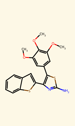 COc1cc(-c2sc(N)nc2-c2cc3ccccc3s2)cc(OC)c1OC